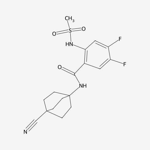 CS(=O)(=O)Nc1cc(F)c(F)cc1C(=O)NC12CCC(C#N)(CC1)CC2